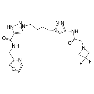 O=C(CN1CC(F)(F)C1)Nc1cn(CCCCN2C=C(C(=O)NCc3ccccn3)NN2)nn1